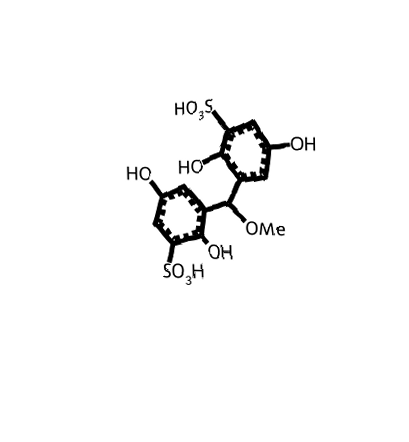 COC(c1cc(O)cc(S(=O)(=O)O)c1O)c1cc(O)cc(S(=O)(=O)O)c1O